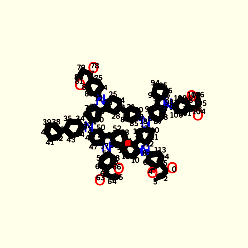 O=c1ccoc2cc(-n3c4ccccc4c4cc(N(c5ccc(-c6ccc7c(c6)c6cc(N(c8ccc(-c9ccccc9)cc8)c8ccc9c(c8)c8ccccc8n9-c8ccc9c(=O)ccoc9c8)ccc6n7-c6ccc7c(=O)ccoc7c6)cc5)c5ccc6c(c5)c5ccccc5n6-c5ccc6c(=O)ccoc6c5)ccc43)ccc12